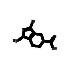 Cn1nc(Br)c2c1CCN(C(=O)O)C2